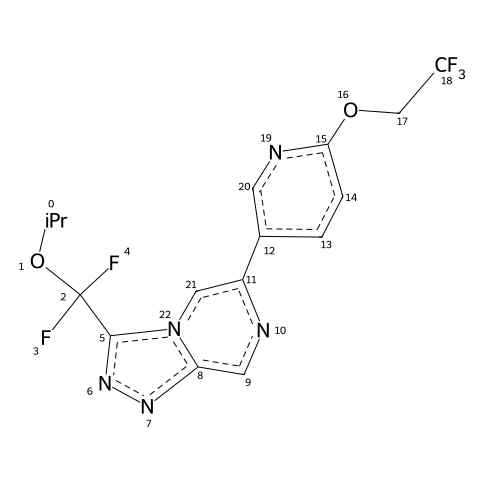 CC(C)OC(F)(F)c1nnc2cnc(-c3ccc(OCC(F)(F)F)nc3)cn12